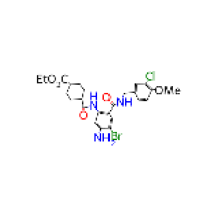 CCOC(=O)C1CCC(C(=O)Nc2cc(N)c(Br)cc2C(=O)NCc2ccc(OC)c(Cl)c2)CC1